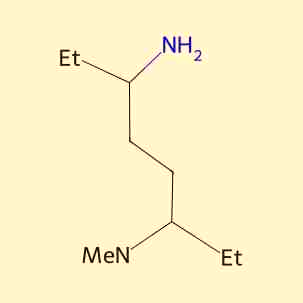 CCC(N)CCC(CC)NC